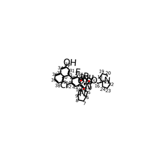 CC(C)(C)OC(=O)N1CC2CCC(C1)N2c1nc(OCC23CCCN2CCC3)nc2c(F)c(-c3cc(O)cc4ccccc34)c(Cl)cc12